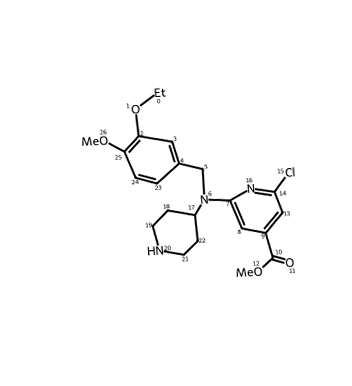 CCOc1cc(CN(c2cc(C(=O)OC)cc(Cl)n2)C2CCNCC2)ccc1OC